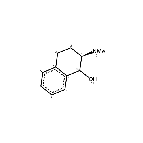 CN[C@@H]1CCc2ccccc2C1O